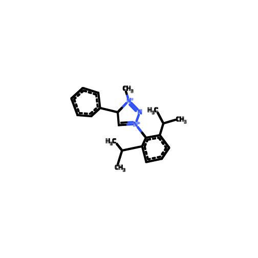 CC(C)c1cccc(C(C)C)c1[N+]1=CC(c2ccccc2)[N+](C)=N1